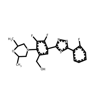 CC1CN(c2c(CO)cc(-c3nnc(-c4ccccc4F)s3)c(F)c2F)CC(C)O1